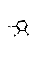 CCc1cccc(CC)c1CC